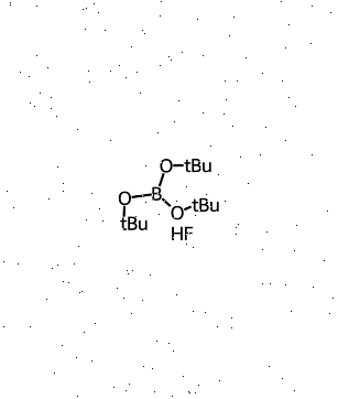 CC(C)(C)OB(OC(C)(C)C)OC(C)(C)C.F